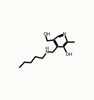 CCCCCNCc1c(CO)cnc(C)c1O